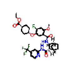 CCOC(=O)[C@H]1CC[C@@H](Oc2cc(C(=O)N[C@@H]3[C@H]4CC[C@H](C4)[C@@H]3C(=O)Nc3cc(C(F)(F)F)ccn3)c(OC)cc2F)CC1